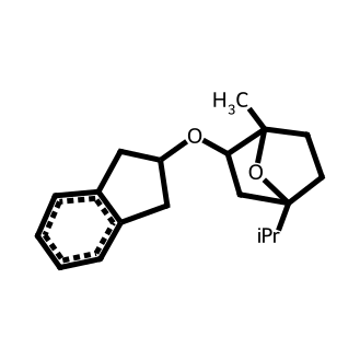 CC(C)C12CCC(C)(O1)C(OC1Cc3ccccc3C1)C2